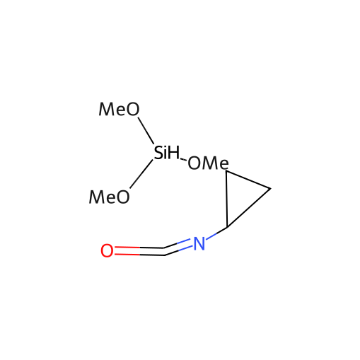 CO[SiH](OC)OC.O=C=NC1CC1